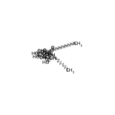 CCCCCCCCCCCCCCCCO[C@H](COC(=O)CCCCCCCCCCCCCCC)COP(=O)(O)O[C@@H]1C(CO[C@@H]2OC(CO)[C@H](O)[C@H](O)C2O)C(O)[C@@H](O)[C@H](O)C1O